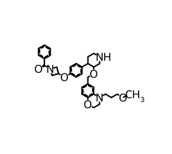 COCCCN1CCOc2ccc(COC3CNCCC3c3ccc(OC4CN(C(=O)c5ccccc5)C4)cc3)cc21